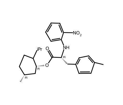 Cc1ccc(C[C@@H](Nc2ccccc2[N+](=O)[O-])C(=O)O[C@@H]2C[C@H](C)CCC2C(C)C)cc1